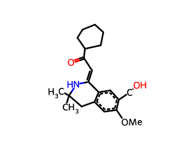 COc1cc2c(cc1CO)C(=CC(=O)C1CCCCC1)NC(C)(C)C2